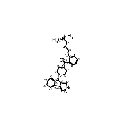 CN(C)CCCOc1ccccc1C(=O)N1CCN([C@@H]2c3ccccc3-c3ccncc32)CC1